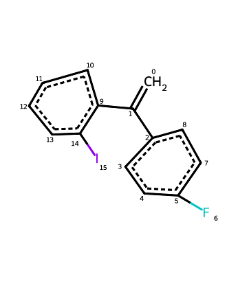 C=C(c1ccc(F)cc1)c1ccccc1I